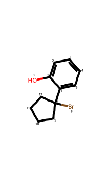 Oc1ccccc1C1(Br)CCCC1